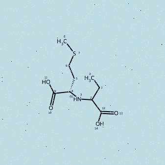 CCC(N[C@@H](CCSC)C(=O)O)C(=O)O